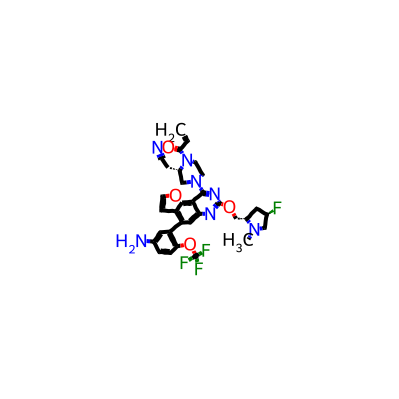 C=CC(=O)N1CCN(c2nc(OC[C@@H]3C[C@@H](F)CN3C)nc3cc(-c4cc(N)ccc4OC(F)(F)F)c4ccoc4c23)C[C@@H]1CC#N